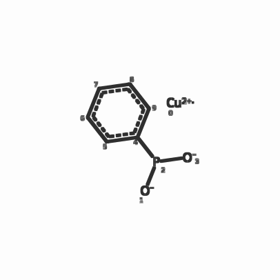 [Cu+2].[O-]P([O-])c1ccccc1